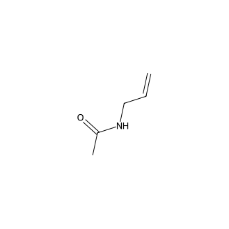 C=CCNC(C)=O